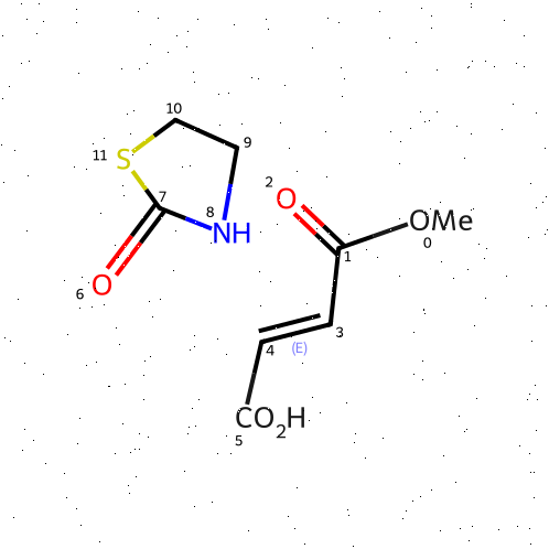 COC(=O)/C=C/C(=O)O.O=C1NCCS1